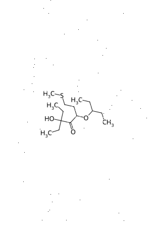 CCC(CC)OC(CCSC)C(=O)C(O)(CC)CC